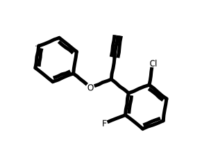 C#CC(Oc1cc[c]cc1)c1c(F)cccc1Cl